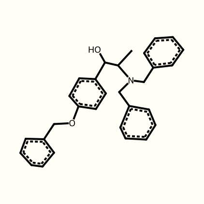 CC(C(O)c1ccc(OCc2ccccc2)cc1)N(Cc1ccccc1)Cc1ccccc1